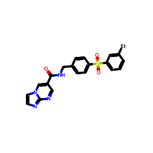 CCc1cccc(S(=O)(=O)c2ccc(CNC(=O)c3cnc4nccn4c3)cc2)c1